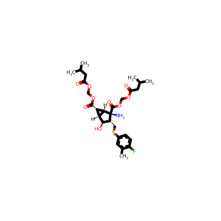 Cc1cc(SC[C@@H]2[C@@H](O)[C@H]3[C@H](C(=O)OCOC(=O)CC(C)C)[C@H]3[C@]2(N)C(=O)OCOC(=O)CC(C)C)ccc1F